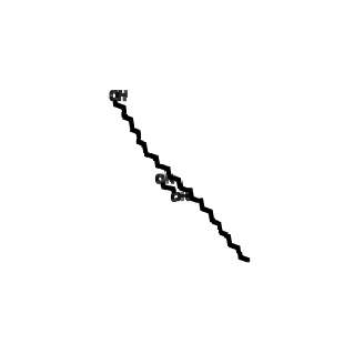 CCCCCCCCCCCCCCCCCCCCCCCCCCCCO.OCCO